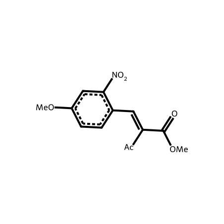 COC(=O)/C(=C/c1ccc(OC)cc1[N+](=O)[O-])C(C)=O